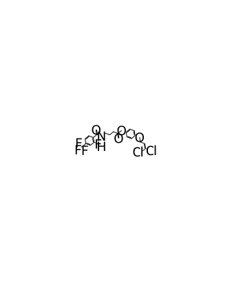 O=C(CCCNC(=O)c1ccc(C(F)(F)F)cc1F)Oc1ccc(OCC=C(Cl)Cl)cc1